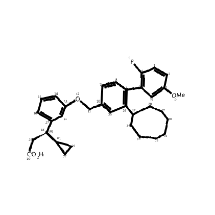 COc1ccc(F)c(-c2ccc(COc3cccc([C@H](CC(=O)O)C4CC4)c3)cc2C2CCCCCCC2)c1